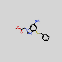 COC(=O)Cn1cnc2c(SCc3ccccc3)cc(N)cc21